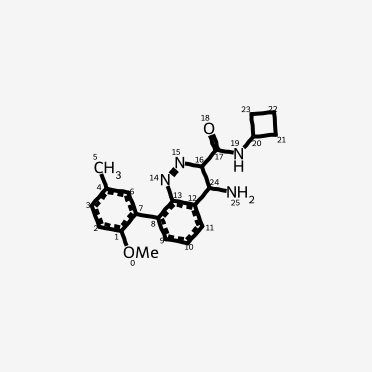 COc1ccc(C)cc1-c1cccc2c1N=NC(C(=O)NC1CCC1)C2N